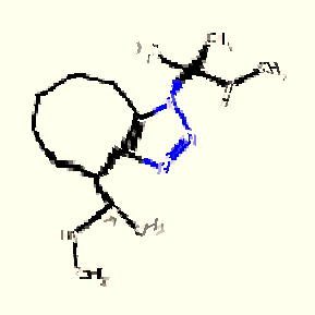 CB[C@H](C)C1CCCCCc2c1nnn2C(C)(C)BC